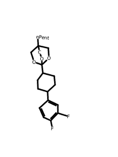 CCCCCC12COC(C3CCC(c4ccc(F)c(F)c4)CC3)(OC1)OC2